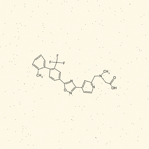 Cc1ccccc1-c1ccc(-c2nc(-c3ccnc(CN(C)CC(=O)O)c3)no2)cc1C(F)(F)F